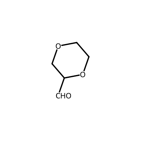 O=CC1COCCO1